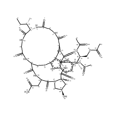 CC[C@H](C)[C@@H]1NC(=O)CNC(=O)C2Cc3c([nH]c4ccc(OC(C)=O)cc34)SCC(NC(=O)CNC1=O)C(=O)NC(CC(N)=O)C(=O)N1C[C@H](O)C[C@H]1C(=O)N[C@@H]([C@@H](C)[C@H](COC(C)=O)OC(C)=O)C(=O)N2